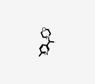 [CH2]C(c1ccc(C)nc1)N1CCOCC1